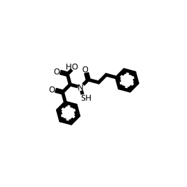 O=C(O)C(C(=O)c1ccccc1)N(S)C(=O)CCc1ccccc1